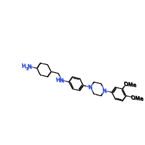 COc1ccc(N2CCN(c3ccc(NCC4CCC(N)CC4)cc3)CC2)cc1OC